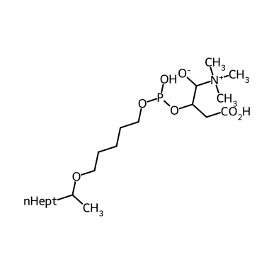 CCCCCCCC(C)OCCCCCOP(O)OC(CC(=O)O)C([O-])[N+](C)(C)C